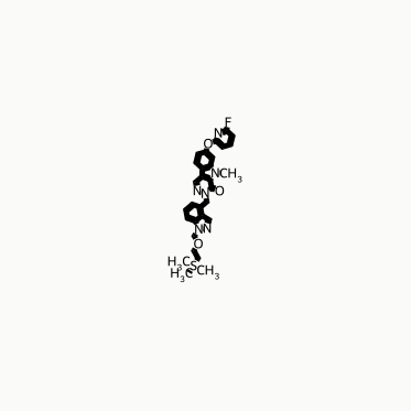 Cn1c2cc(Oc3cccc(F)n3)ccc2c2cnn(Cc3cccc4c3cnn4COCCS(C)(C)C)c(=O)c21